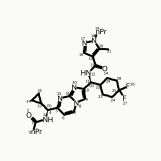 CCCC(=O)N[C@H](c1ccn2cc([C@@H](NC(=O)c3cnn(CCC)c3C)C3CCC(F)(F)CC3)nc2n1)C1CC1